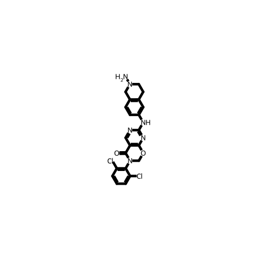 NN1CCc2cc(Nc3ncc4c(n3)OCN(c3c(Cl)cccc3Cl)C4=O)ccc2C1